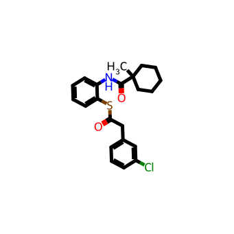 CC1(C(=O)Nc2ccccc2SC(=O)Cc2cccc(Cl)c2)CCCCC1